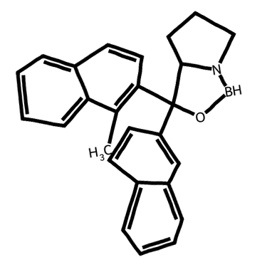 Cc1c(C2(c3ccc4ccccc4c3)OBN3CCCC32)ccc2ccccc12